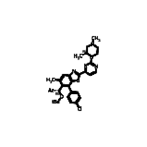 CC(=O)[C@@H](OC(C)(C)C)c1c(C)cc2nc(-c3ccnc(N4CCN(C)C[C@@H]4C)n3)sc2c1-c1ccc(Cl)cc1